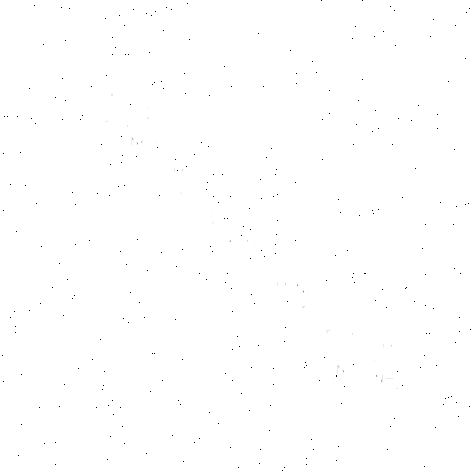 NC(=O)C(N)CCCCNOCCOCCOCCOCCNC(=O)CCS